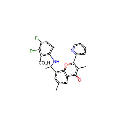 Cc1cc(C(C)Nc2ccc(F)c(F)c2C(=O)O)c2oc(-c3ccccn3)c(C)c(=O)c2c1